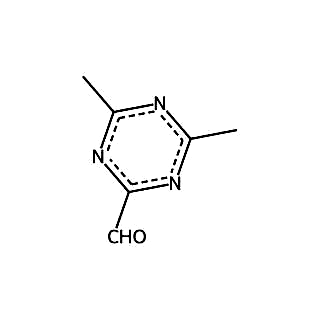 Cc1nc(C)nc(C=O)n1